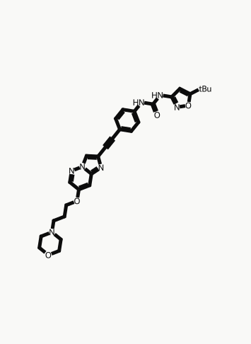 CC(C)(C)c1cc(NC(=O)Nc2ccc(C#Cc3cn4ncc(OCCCN5CCOCC5)cc4n3)cc2)no1